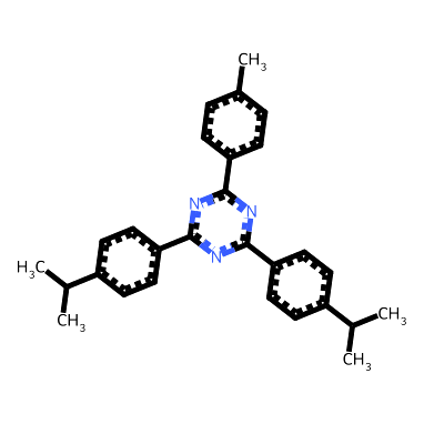 Cc1ccc(-c2nc(-c3ccc(C(C)C)cc3)nc(-c3ccc(C(C)C)cc3)n2)cc1